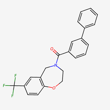 O=C(c1cccc(-c2ccccc2)c1)N1CCOc2ccc(C(F)(F)F)cc2C1